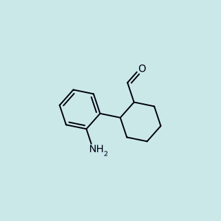 Nc1ccccc1C1CCCCC1C=O